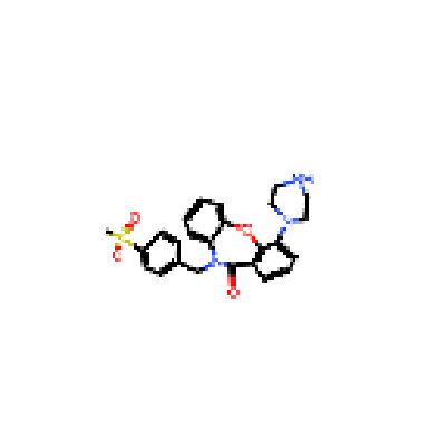 CS(=O)(=O)c1ccc(CN2C(=O)c3cccc(N4CCNCC4)c3Oc3ccccc32)cc1